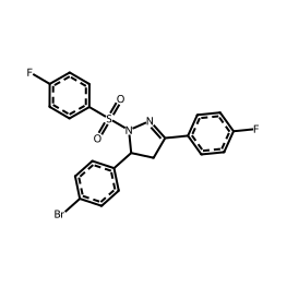 O=S(=O)(c1ccc(F)cc1)N1N=C(c2ccc(F)cc2)CC1c1ccc(Br)cc1